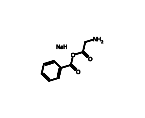 NCC(=O)OC(=O)c1ccccc1.[NaH]